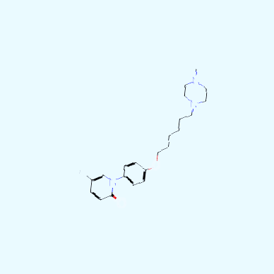 CN1CCN(CCCCCCOc2ccc(-n3cc(C(F)(F)F)ccc3=O)cc2)CC1